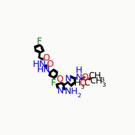 CC(C)(C)OC(=O)Nc1ccc(-c2c(Oc3ccc(NC(=O)NC(=O)Cc4ccc(F)cc4)cc3F)ccnc2N)nc1